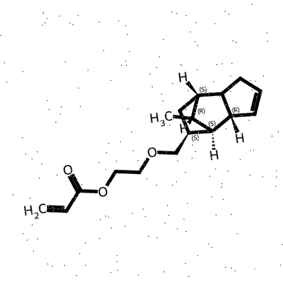 C=CC(=O)OCCOC[C@H]1C[C@@H]2C3CC=C[C@@H]3[C@@H]1[C@@H]2C